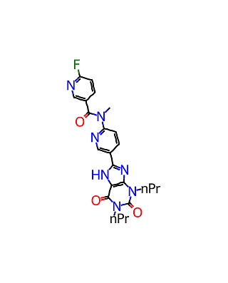 CCCn1c(=O)c2[nH]c(-c3ccc(N(C)C(=O)c4ccc(F)nc4)nc3)nc2n(CCC)c1=O